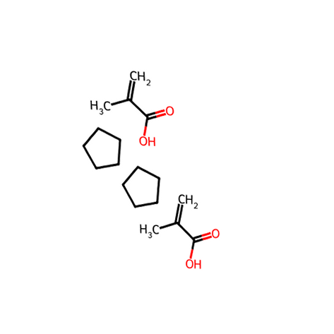 C1CCCC1.C1CCCC1.C=C(C)C(=O)O.C=C(C)C(=O)O